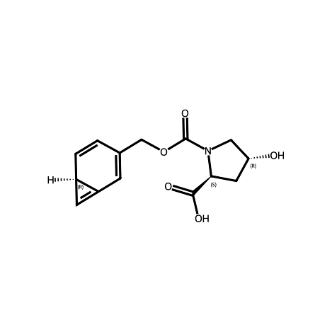 O=C(O)[C@@H]1C[C@@H](O)CN1C(=O)OCC1=CC2=C[C@H]2C=C1